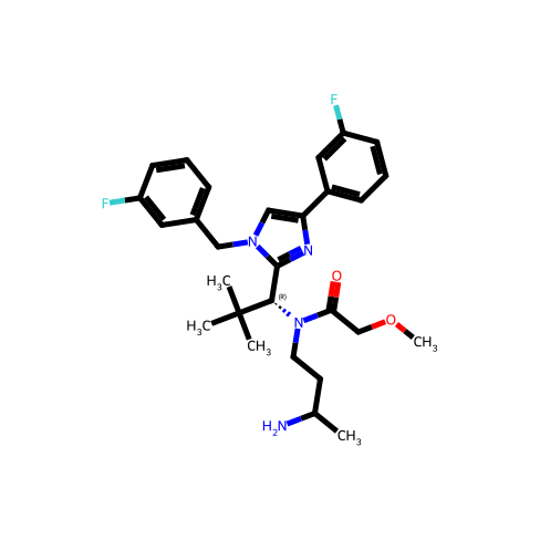 COCC(=O)N(CCC(C)N)[C@@H](c1nc(-c2cccc(F)c2)cn1Cc1cccc(F)c1)C(C)(C)C